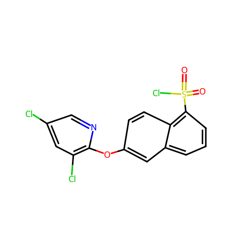 O=S(=O)(Cl)c1cccc2cc(Oc3ncc(Cl)cc3Cl)ccc12